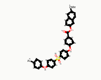 COc1ccc2cc(OC(=O)c3ccc(Oc4ccc(S(=O)(=O)c5ccc(Oc6ccc(C(C)=O)cc6)cc5)cc4)cc3)ccc2c1